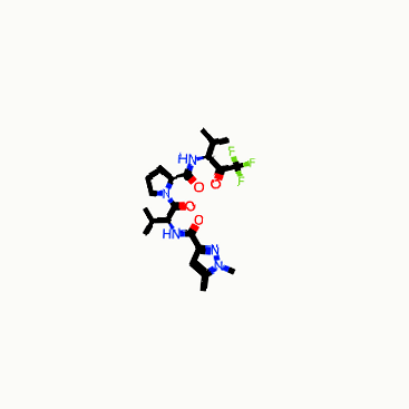 Cc1cc(C(=O)N[C@H](C(=O)N2CCC[C@H]2C(=O)N[C@H](C(=O)C(F)(F)F)C(C)C)C(C)C)nn1C